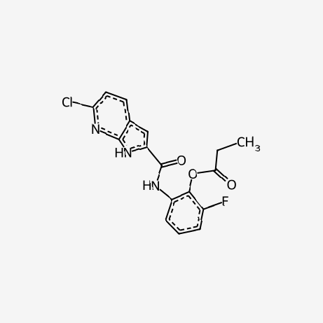 CCC(=O)Oc1c(F)cccc1NC(=O)c1cc2ccc(Cl)nc2[nH]1